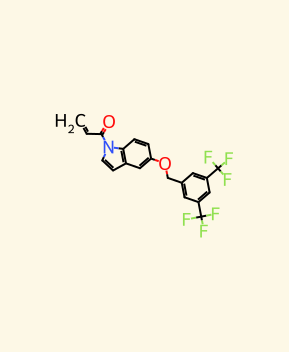 C=CC(=O)n1ccc2cc(OCc3cc(C(F)(F)F)cc(C(F)(F)F)c3)ccc21